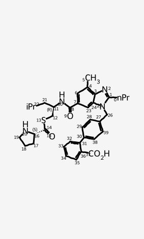 CCCc1nc2c(C)cc(C(=O)N[C@@H](CSC(=O)[C@@H]3CCCN3)CC(C)C)cc2n1Cc1ccc(-c2ccccc2C(=O)O)cc1